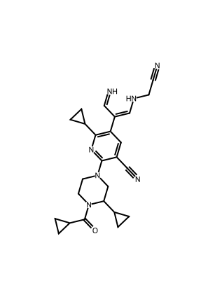 N#CCN/C=C(\C=N)c1cc(C#N)c(N2CCN(C(=O)C3CC3)C(C3CC3)C2)nc1C1CC1